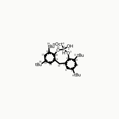 CCCCCCCC[PH]1(O)Oc2c(cc(C(C)(C)C)cc2C(C)(C)C)Cc2cc(C(C)(C)C)cc(C(C)(C)C)c2O1